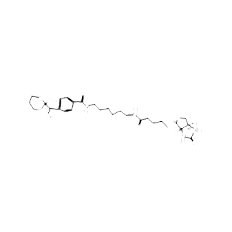 CC1(C(O)c2ccc(C(=O)NCCCCCCNC(=O)CCCC[C@@H]3SC[C@@H]4NC(=O)N[C@@H]43)cc2)SCCCS1